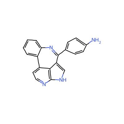 Nc1ccc(C2=Nc3ccccc3-c3ccnc4[nH]cc2c34)cc1